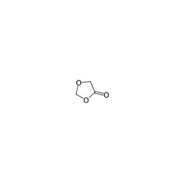 O=C1COCO1